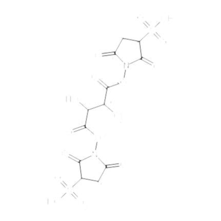 O=C(ON1C(=O)CC(S(=O)(=O)O)C1=O)C(O)C(O)C(=O)ON1C(=O)CC(S(=O)(=O)O)C1=O